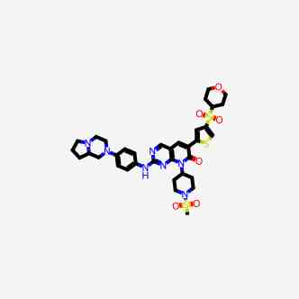 CS(=O)(=O)N1CCC(n2c(=O)c(-c3cc(S(=O)(=O)C4CCOCC4)cs3)cc3cnc(Nc4ccc(N5CCN6CCCC6C5)cc4)nc32)CC1